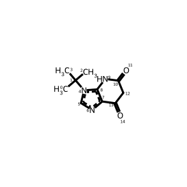 CC(C)(C)n1cnc2c1NC(=O)CC2=O